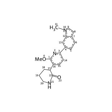 COc1nc(-c2ccc3ccn(C)c3c2)ccc1C1CCCNC1=O